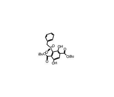 CC(C)COC(=O)c1cc(O)c(C(=O)OCC(C)C)c(S(=O)(=O)Cc2ccccc2)c1O